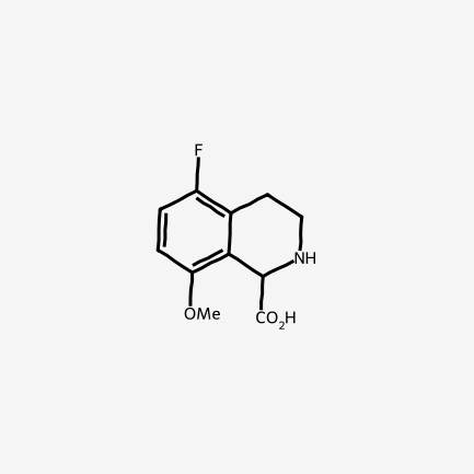 COc1ccc(F)c2c1C(C(=O)O)NCC2